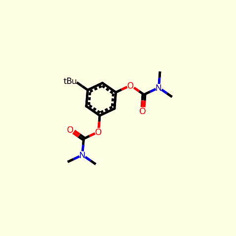 CN(C)C(=O)Oc1cc(OC(=O)N(C)C)cc(C(C)(C)C)c1